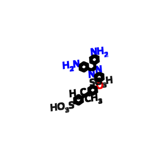 CC(C)(c1ccc(S(=O)(=O)O)cc1)c1ccc(Oc2ccc3nc(-c4ccc(N)cc4)c(-c4ccc(N)cc4)nc3c2)c(S(=O)(=O)O)c1